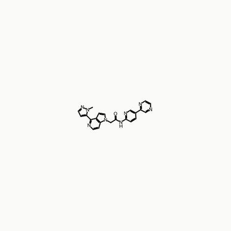 Cn1nccc1-c1nccc2c1ccn2CC(=O)Nc1ccc(-c2cnccn2)cn1